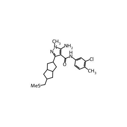 CSCC1CC2CC(c3nn(C)c(N)c3C(=O)Nc3ccc(C)c(Cl)c3)CC2C1